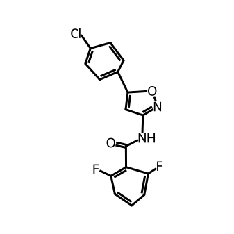 O=C(Nc1cc(-c2ccc(Cl)cc2)on1)c1c(F)cccc1F